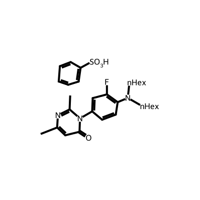 CCCCCCN(CCCCCC)c1ccc(-n2c(C)nc(C)cc2=O)cc1F.O=S(=O)(O)c1ccccc1